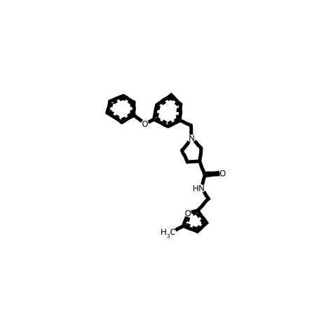 Cc1ccc(CNC(=O)C2CCN(Cc3cccc(Oc4ccccc4)c3)C2)o1